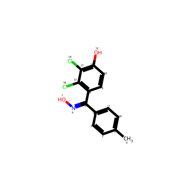 Cc1ccc(C(=NO)c2ccc(O)c(Cl)c2Cl)cc1